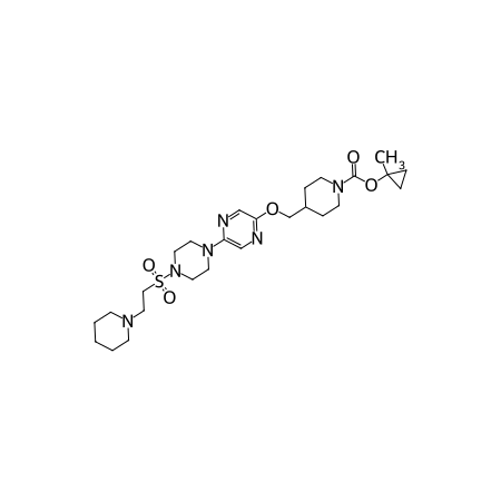 CC1(OC(=O)N2CCC(COc3cnc(N4CCN(S(=O)(=O)CCN5CCCCC5)CC4)cn3)CC2)CC1